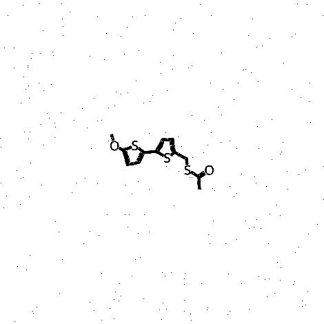 COc1ccc(-c2ccc(CSC(C)=O)s2)s1